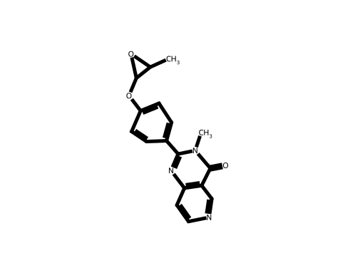 CC1OC1Oc1ccc(-c2nc3ccncc3c(=O)n2C)cc1